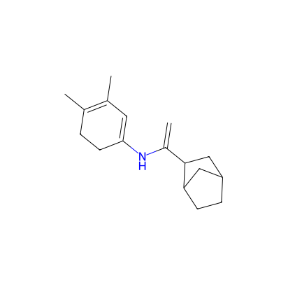 C=C(NC1=CC(C)=C(C)CC1)C1CC2CCC1C2